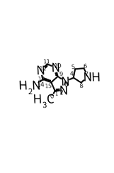 Cc1nn(C2CCNC2)c2ncnc(N)c12